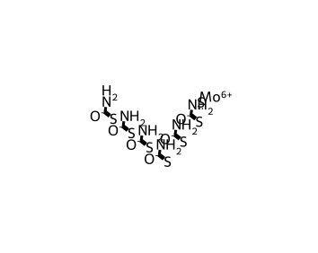 NC([O-])=S.NC([O-])=S.NC([O-])=S.NC([O-])=S.NC([O-])=S.NC([O-])=S.[Mo+6].[S]